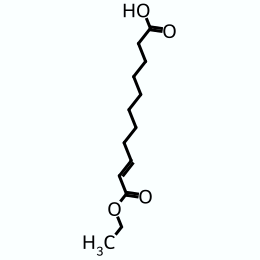 CCOC(=O)/C=C/CCCCCCCC(=O)O